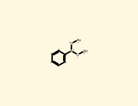 SOB([O][Au])c1ccccc1